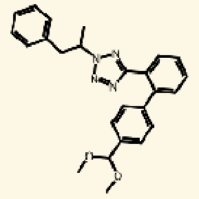 COC(OC)c1ccc(-c2ccccc2-c2nnn(C(C)Cc3ccccc3)n2)cc1